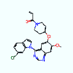 C=CC(=O)N1CCC(Oc2cc3c(-n4ccc5ccc(Cl)cc54)ncnc3cc2OC)CC1